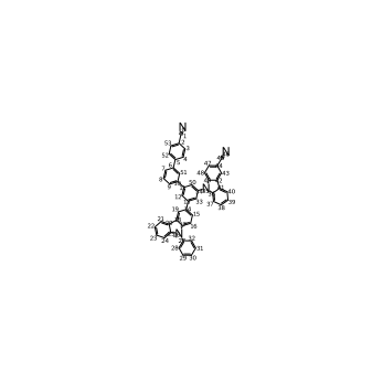 N#Cc1ccc(-c2cccc(-c3cc(-c4ccc5c(c4)c4ccccc4n5-c4ccccc4)cc(-n4c5ccccc5c5cc(C#N)ccc54)c3)c2)cc1